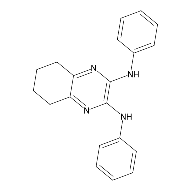 c1ccc(Nc2nc3c(nc2Nc2ccccc2)CCCC3)cc1